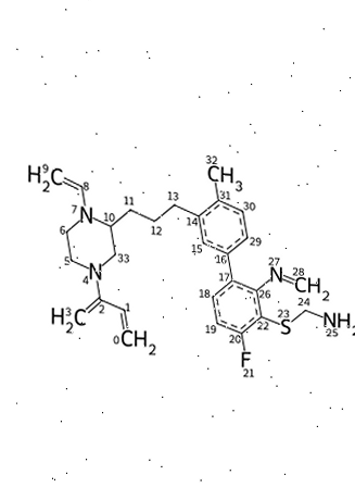 C=CC(=C)N1CCN(C=C)C(CCCc2cc(-c3ccc(F)c(SCN)c3N=C)ccc2C)C1